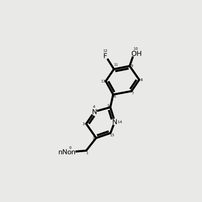 CCCCCCCCCCc1cnc(-c2ccc(O)c(F)c2)nc1